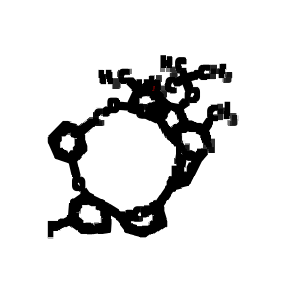 Cc1ccc2cc1OCc1cccc(c1)Oc1cc(F)ccc1-c1cccc(c1)-c1cc3nc(C)c([C@H](OC(C)(C)C)C(=O)O)c-2n3n1